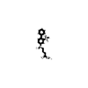 CCN(CCCC(N)=O)c1ccc(-c2ccccc2)c(S(C)(=O)=O)c1